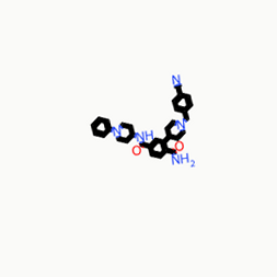 N#Cc1ccc(CN2CCC(c3cc(C(=O)NC4CCN(c5ccccc5)CC4)ccc3C(N)=O)CC2)cc1